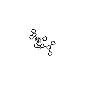 C1=CC(c2cc(-c3ccccc3)cc(-c3ccc4c(c3)oc3cccc(-c5nc(-c6ccccc6)nc(-c6cc7ccccc7c7ccccc67)n5)c34)c2)=CCC1